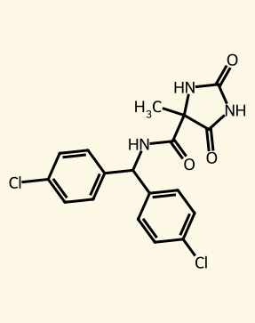 CC1(C(=O)NC(c2ccc(Cl)cc2)c2ccc(Cl)cc2)NC(=O)NC1=O